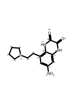 O=c1[nH]c2cc([N+](=O)[O-])cc(CCN3CCCC3)c2[nH]c1=O